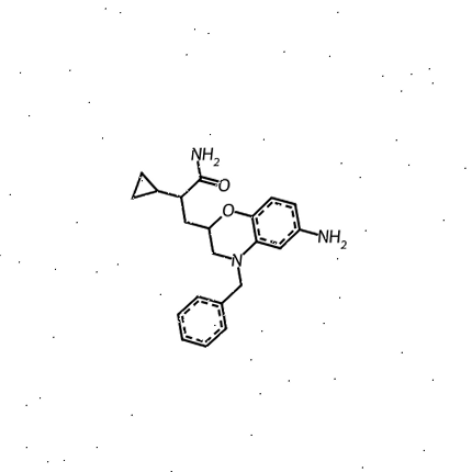 NC(=O)C(CC1CN(Cc2ccccc2)c2cc(N)ccc2O1)C1CC1